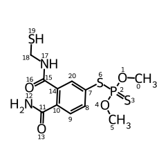 COP(=S)(OC)Sc1ccc(C(N)=O)c(C(=O)NCS)c1